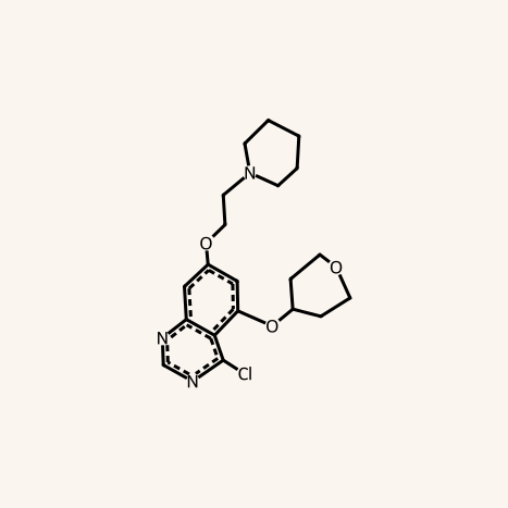 Clc1ncnc2cc(OCCN3CCCCC3)cc(OC3CCOCC3)c12